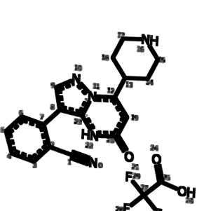 N#Cc1ccccc1-c1cnn2c(C3CCNCC3)cc(=O)[nH]c12.O=C(O)C(F)(F)F